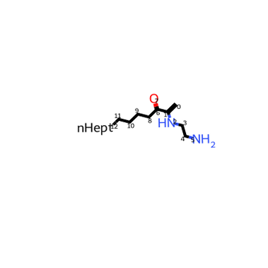 C=C(NCCN)C(=O)CCCCCCCCCCC